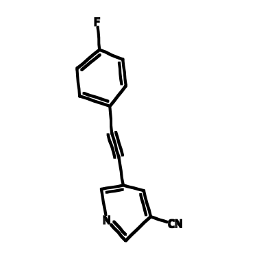 N#Cc1cncc(C#Cc2ccc(F)cc2)c1